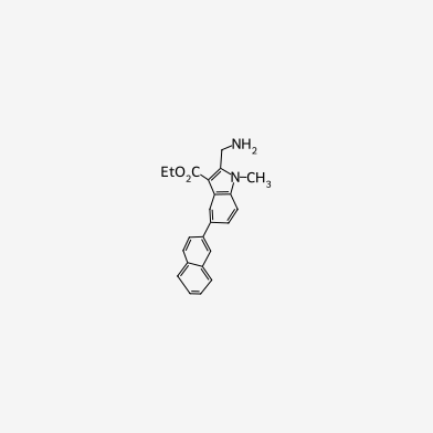 CCOC(=O)c1c(CN)n(C)c2ccc(-c3ccc4ccccc4c3)cc12